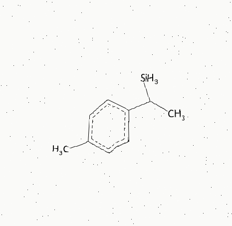 Cc1ccc(C(C)[SiH3])cc1